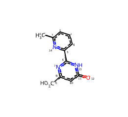 Cc1cccc(-c2nc(C(=O)O)cc(=O)[nH]2)n1